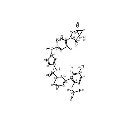 Cc1cc(C(C)n2cc(NC(=O)c3cncc(-c4c(OC(F)F)ccc(Cl)c4F)n3)cn2)nnc1N1C[C@H]2C[C@H]2C1=O